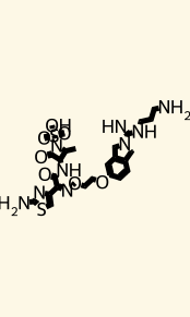 CC1C(NC(=O)/C(=N\OCCOc2ccc3c(c2)CN(C(=N)NCCCN)C3)c2csc(N)n2)C(=O)N1S(=O)(=O)O